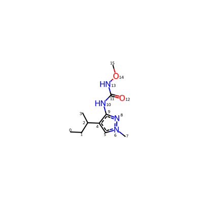 CCC(C)c1cn(C)nc1NC(=O)NOC